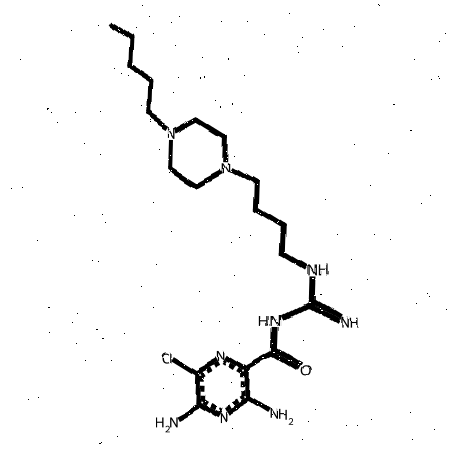 CCCCCN1CCN(CCCCNC(=N)NC(=O)c2nc(Cl)c(N)nc2N)CC1